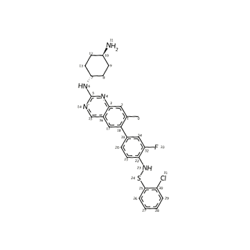 Cc1cc2nc(N[C@H]3CC[C@H](N)CC3)ncc2cc1-c1ccc(NSc2ccccc2Cl)c(F)c1